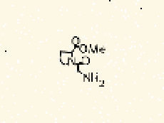 COC(=O)C1CCCN1C(=O)CN